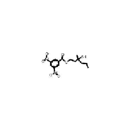 CCCC(C)(S)CCOC(=O)c1cc([N+](=O)[O-])cc([N+](=O)[O-])c1